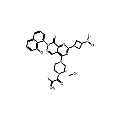 C=C(F)C(=O)N1CCN(c2nc(N3CC(N(CC)CC)C3)nc3c(=O)n(-c4cccc5cccc(Cl)c45)ncc23)C[C@@H]1CC#N